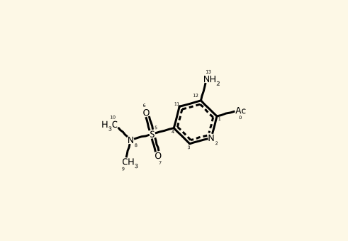 CC(=O)c1ncc(S(=O)(=O)N(C)C)cc1N